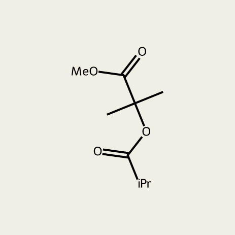 COC(=O)C(C)(C)OC(=O)C(C)C